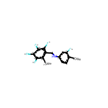 COc1ccc(NCc2c(F)c(F)c(F)c(F)c2SC)cc1F